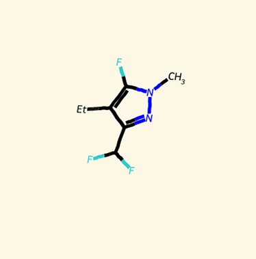 CCc1c(C(F)F)nn(C)c1F